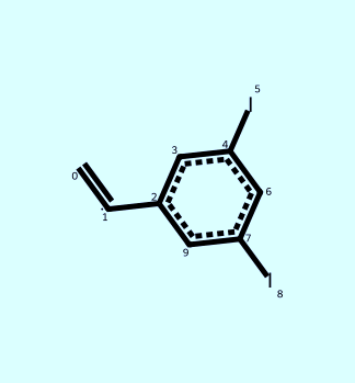 C=[C]c1cc(I)cc(I)c1